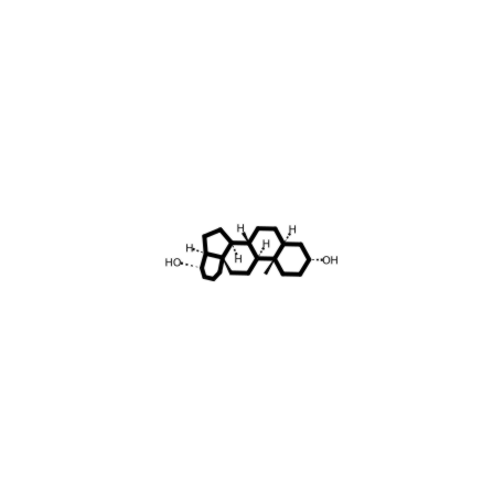 C[C@]12CC[C@@H](O)C[C@@H]1CC[C@@H]1[C@@H]2CC[C@@]23CCC[C@H](O)[C@H]2CC[C@@H]13